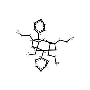 NCC12C3NC4C(CCO)(C5NC1C3(CCO)C(c1ccccc1)C45CCO)C2c1ccccc1